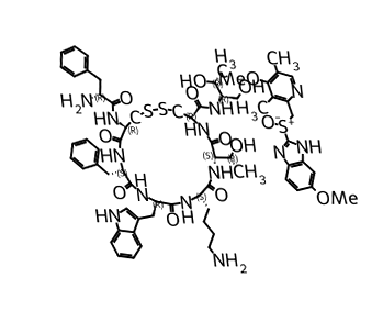 COc1ccc2nc([S+]([O-])Cc3ncc(C)c(OC)c3C)[nH]c2c1.C[C@@H](O)[C@@H]1NC(=O)[C@H](CCCCN)NC(=O)[C@@H](Cc2c[nH]c3ccccc23)NC(=O)[C@H](Cc2ccccc2)NC(=O)[C@@H](NC(=O)[C@H](N)Cc2ccccc2)CSSC[C@@H](C(=O)N[C@H](CO)[C@@H](C)O)NC1=O